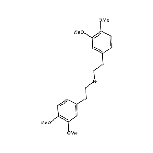 COc1ccc(CC[N]CCc2ccc(OC)c(OC)c2)cc1OC